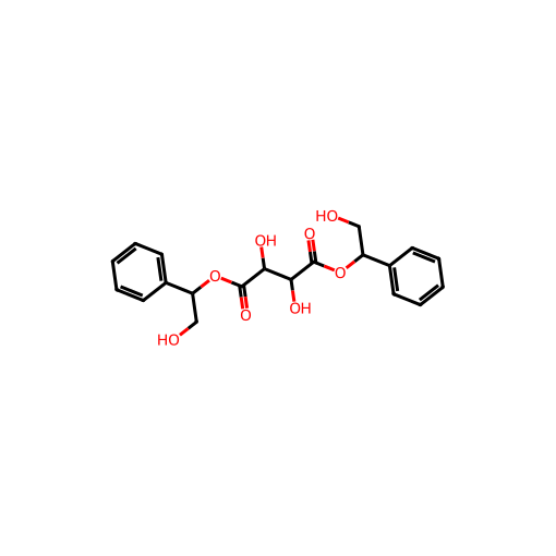 O=C(OC(CO)c1ccccc1)C(O)C(O)C(=O)OC(CO)c1ccccc1